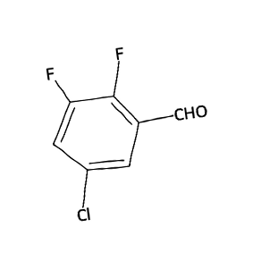 O=Cc1cc(Cl)cc(F)c1F